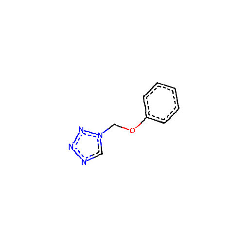 c1ccc(OCn2cnnn2)cc1